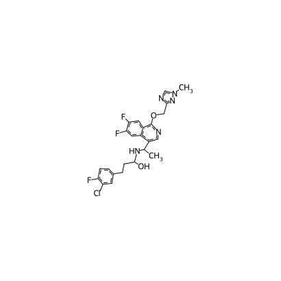 CC(NC(O)CCc1ccc(F)c(Cl)c1)c1cnc(OCc2ncn(C)n2)c2cc(F)c(F)cc12